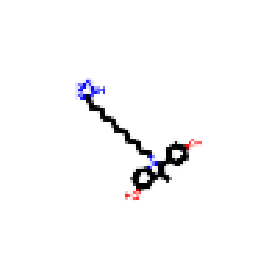 Cc1c(-c2ccc(O)cc2)n(CCCCCCCCCCc2nnn[nH]2)c2ccc(O)cc12